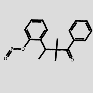 CC(c1ccccc1OP=O)C(C)(C)C(=O)c1ccccc1